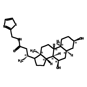 C[C@H](CC(=O)NCc1nccs1)C1CC[C@H]2[C@@H]3[C@H](O)C[C@@H]4C[C@H](O)CC[C@]4(C)[C@H]3CC[C@]12C